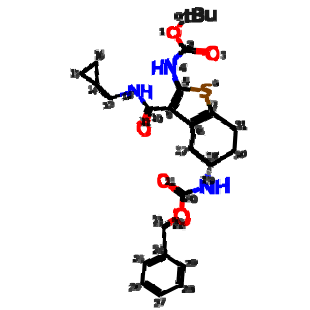 CC(C)(C)OC(=O)Nc1sc2c(c1C(=O)NCC1CC1)C[C@@H](NC(=O)OCc1ccccc1)CC2